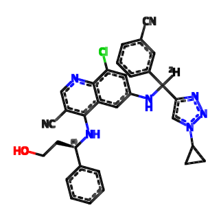 [2H]C(Nc1cc(Cl)c2ncc(C#N)c(N[C@H](CCO)c3ccccc3)c2c1)(c1cccc(C#N)c1)c1cn(C2CC2)nn1